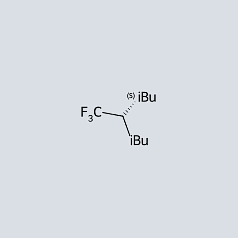 CCC(C)C([C@@H](C)CC)C(F)(F)F